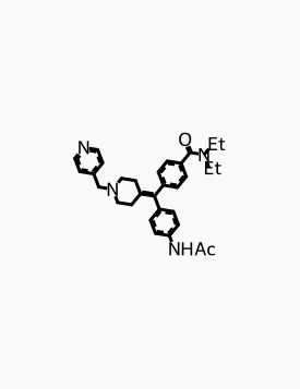 CCN(CC)C(=O)c1ccc(C(=C2CCN(Cc3ccncc3)CC2)c2ccc(NC(C)=O)cc2)cc1